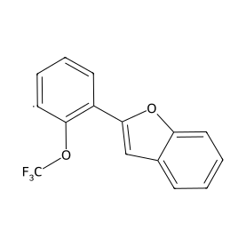 FC(F)(F)Oc1[c]cccc1-c1cc2ccccc2o1